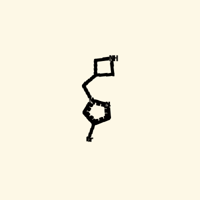 Brc1cnn(CC2CNC2)c1